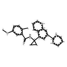 COc1ccc(C)c(C(=O)NC2(c3cc(-c4ncccn4)cc4ncccc34)CC2)c1